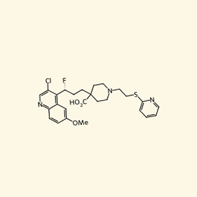 COc1ccc2ncc(Cl)c([C@H](F)CCC3(C(=O)O)CCN(CCSc4ccccn4)CC3)c2c1